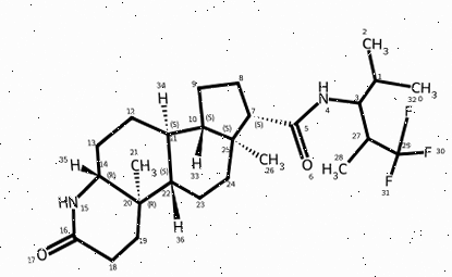 CC(C)C(NC(=O)[C@H]1CC[C@H]2[C@@H]3CC[C@H]4NC(=O)CC[C@]4(C)[C@H]3CC[C@]12C)C(C)C(F)(F)F